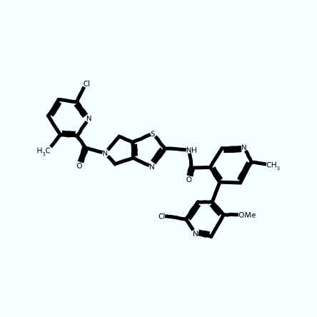 COc1cnc(Cl)cc1-c1cc(C)ncc1C(=O)Nc1nc2c(s1)CN(C(=O)c1nc(Cl)ccc1C)C2